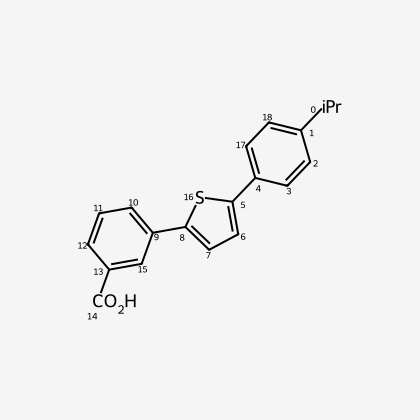 CC(C)c1ccc(-c2ccc(-c3cccc(C(=O)O)c3)s2)cc1